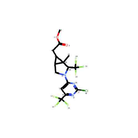 COC(=O)CC1C2CN(c3cc(C(F)(F)F)nc(Cl)n3)C(C(F)(F)F)C12C